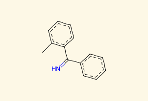 Cc1ccccc1C(=N)c1ccccc1